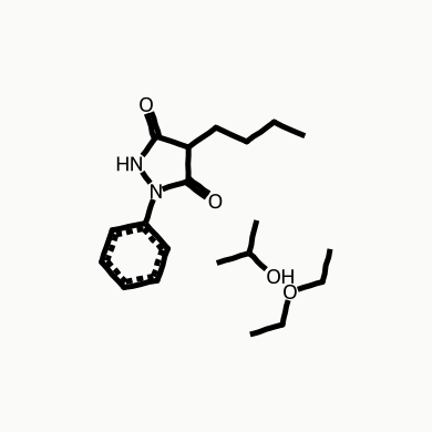 CC(C)O.CCCCC1C(=O)NN(c2ccccc2)C1=O.CCOCC